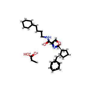 CCC(=O)O.O=C(NCCCCC1CCCCC1)c1coc([C@H]2CCC[C@H]2Cc2ccccc2)n1